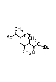 CCCC(CC(C)C(C)C(=O)OC(C)(C)C)C(C)C(C)=O